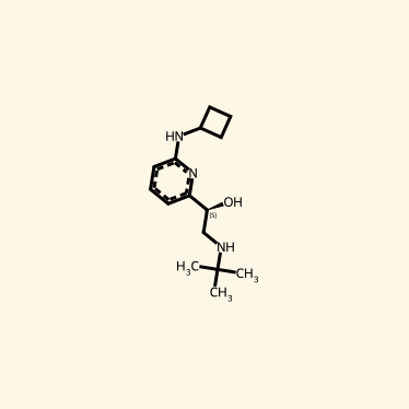 CC(C)(C)NC[C@H](O)c1cccc(NC2CCC2)n1